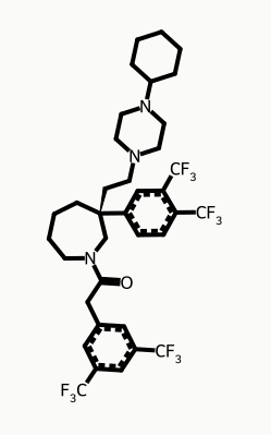 O=C(Cc1cc(C(F)(F)F)cc(C(F)(F)F)c1)N1CCCC[C@](CCN2CCN(C3CCCCC3)CC2)(c2ccc(C(F)(F)F)c(C(F)(F)F)c2)C1